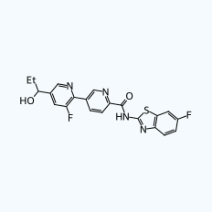 CCC(O)c1cnc(-c2ccc(C(=O)Nc3nc4ccc(F)cc4s3)nc2)c(F)c1